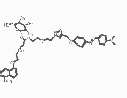 CN(C)c1ccc(/N=N/c2ccc(NCc3cn(CCOCCOC(CCNCCNc4cccc5c(S(=O)(=O)O)cccc45)O[C@@H]4O[C@H](CO)[C@@H](O)[C@H](O)[C@H]4O)nn3)cc2)cc1